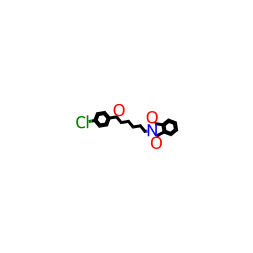 O=C(CCCCCN1C(=O)c2ccccc2C1=O)c1ccc(Cl)cc1